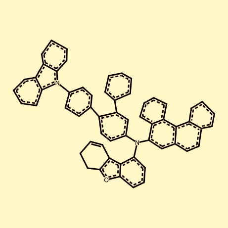 C1=Cc2c(oc3cccc(N(c4ccc(-c5ccc(-n6c7ccccc7c7ccccc76)cc5)c(-c5ccccc5)c4)c4cc5ccc6ccccc6c5c5ccccc45)c23)CC1